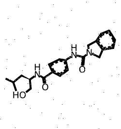 CC(C)C[C@H](CO)NC(=O)c1ccc(NC(=O)N2Cc3ccccc3C2)cc1